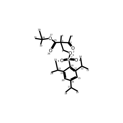 CC(=O)C(C)(COS(=O)(=O)c1c(C(C)C)cc(C(C)C)cc1C(C)C)C(=O)OC(C)(C)C